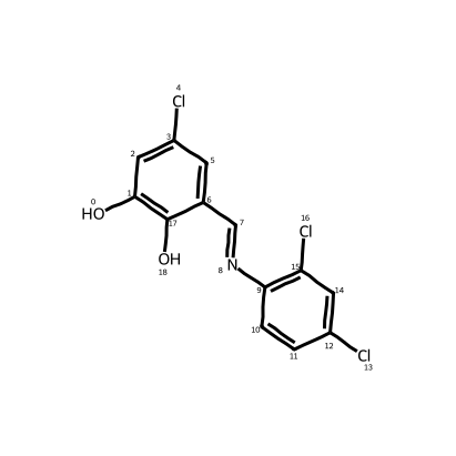 Oc1cc(Cl)cc(C=Nc2ccc(Cl)cc2Cl)c1O